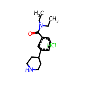 CCN(CC)C(=O)c1cccc(C2CCNCC2)c1.Cl